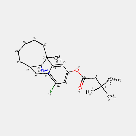 CCCCCC(C)(C)CC(=O)Oc1cc(F)c2c(c1)C1(C)CCCCCC(C2)C1N